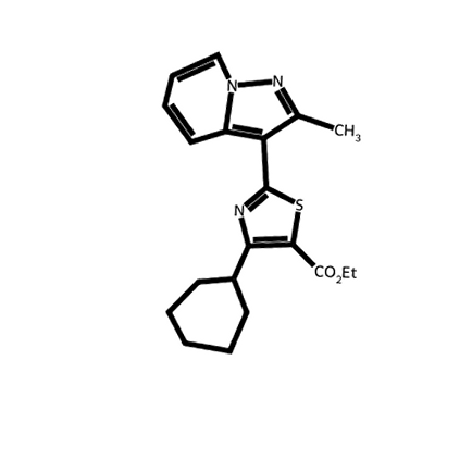 CCOC(=O)c1sc(-c2c(C)nn3ccccc23)nc1C1CCCCC1